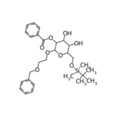 CC(C)(C)[Si](C)(C)OCC1OC(OCCOCc2ccccc2)C(OC(=O)c2ccccc2)C(O)C1O